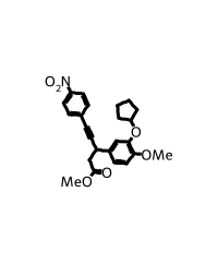 COC(=O)CC(C#Cc1ccc([N+](=O)[O-])cc1)c1ccc(OC)c(OC2CCCC2)c1